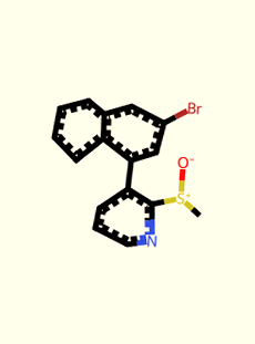 C[S+]([O-])c1ncccc1-c1cc(Br)cc2ccccc12